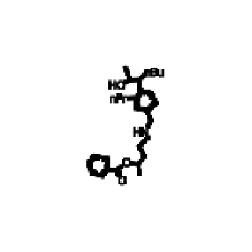 CCCCC(c1ccc(CNCCCC(C)OC(=O)c2ccccc2)cc1CCC)C(C)O